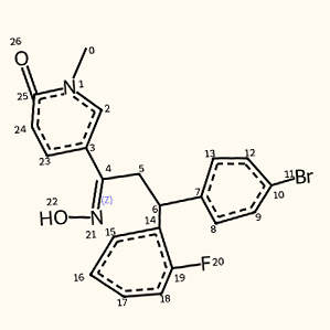 Cn1cc(/C(CC(c2ccc(Br)cc2)c2ccccc2F)=N\O)ccc1=O